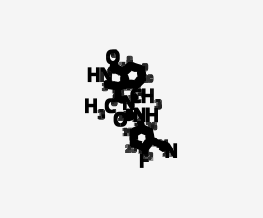 C[C@@H](c1c[nH]c(=O)c2ccccc12)N(C)C(=O)Nc1ccc(F)c(C#N)c1